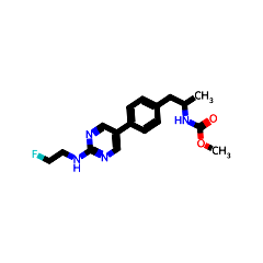 COC(=O)NC(C)Cc1ccc(-c2cnc(NCCF)nc2)cc1